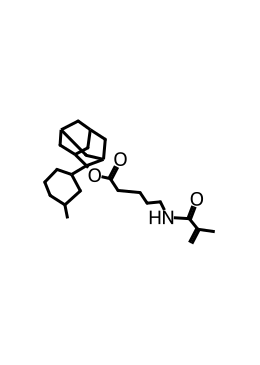 C=C(C)C(=O)NCCCCC(=O)OC1(C2CCCC(C)C2)C2CC3CC(C2)CC1C3